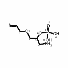 C=CCOCC(CP)OP(=O)(O)O